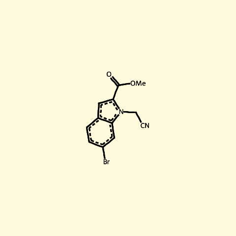 COC(=O)c1cc2ccc(Br)cc2n1CC#N